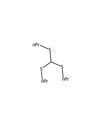 CCCSC(SCCC)SCCC